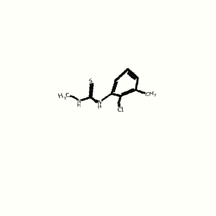 CNC(=S)Nc1cccc(C)c1Cl